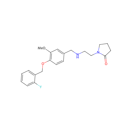 COc1cc(CNCCN2CCCC2=O)ccc1OCc1ccccc1F